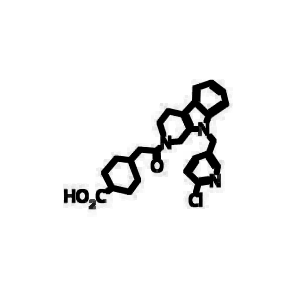 O=C(O)C1CCC(CC(=O)N2CCc3c(n(Cc4ccc(Cl)nc4)c4ccccc34)C2)CC1